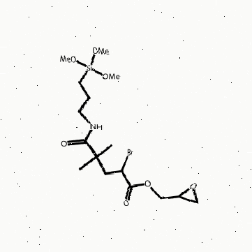 CO[Si](CCCNC(=O)C(C)(C)CC(Br)C(=O)OCC1CO1)(OC)OC